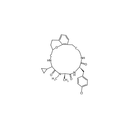 C[C@@H]1C(=O)N[C@H](Cc2ccc(Cl)cc2)C(=O)NCCCc2cccc3c2OC(CC3)CNC(C2CC2)C(=O)N1C